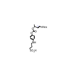 CCCCCC/C=C/C(C)OC(=O)Oc1ccc(NCCCS(=O)(=O)O)cc1